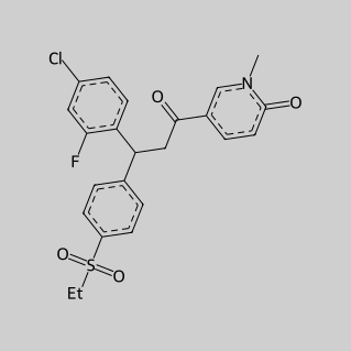 CCS(=O)(=O)c1ccc(C(CC(=O)c2ccc(=O)n(C)c2)c2ccc(Cl)cc2F)cc1